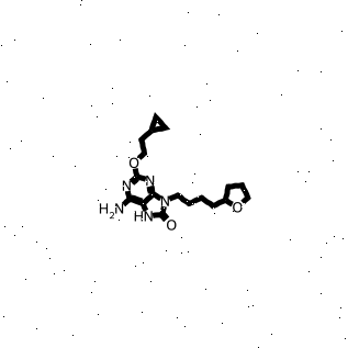 Nc1nc(OCCC2CC2)nc2c1[nH]c(=O)n2CCCCC1CCCO1